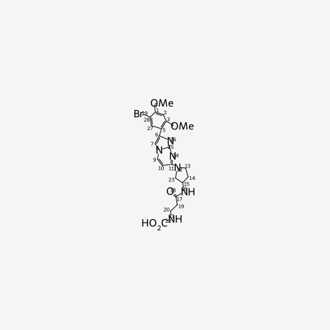 COc1cc(OC)c(-c2cn3ccc(N4CCC(NC(=O)CCNC(=O)O)C4)nc3n2)cc1Br